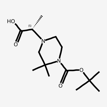 C[C@@H](C(=O)O)N1CCN(C(=O)OC(C)(C)C)C(C)(C)C1